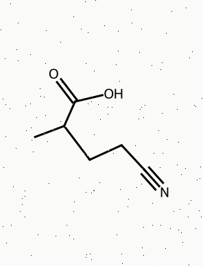 CC(CCC#N)C(=O)O